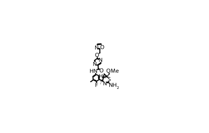 COC[C@]12C[C@H]1[C@](C)(c1cc(NC(=O)c3cnc(OCc4ncco4)cn3)cc(C)c1F)N=C(N)S2